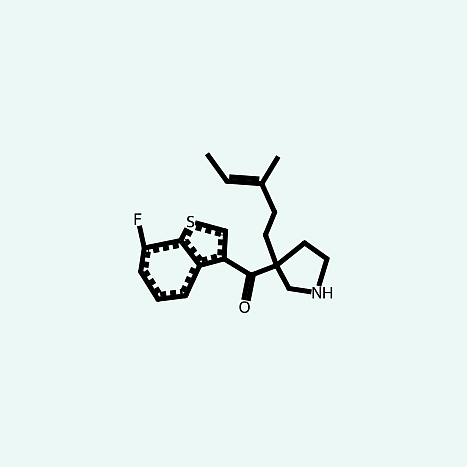 CC=C(C)CCC1(C(=O)c2csc3c(F)cccc23)CCNC1